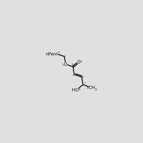 CCCCCCOC(=O)C=CC(C)O